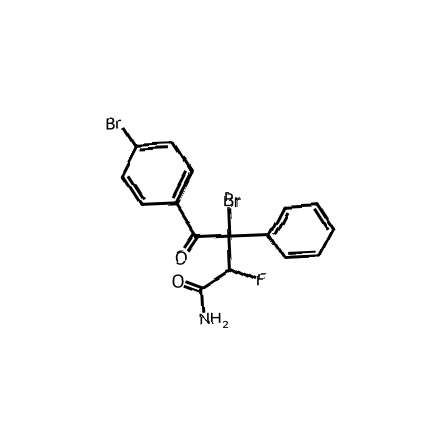 NC(=O)C(F)C(Br)(C(=O)c1ccc(Br)cc1)c1ccccc1